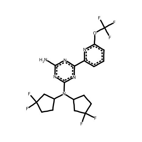 Nc1nc(-c2cccc(OC(F)(F)F)n2)nc(N(C2CCC(F)(F)C2)C2CCC(F)(F)C2)n1